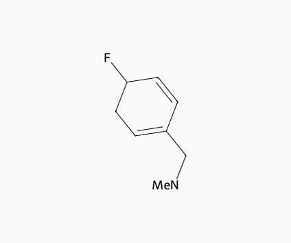 CNCC1=CCC(F)C=C1